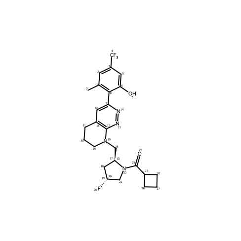 Cc1cc(C(F)(F)F)cc(O)c1-c1cc2c(nn1)N(C[C@@H]1C[C@@H](F)CN1C(=O)C1CCC1)CCC2